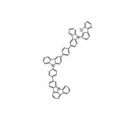 c1ccc2c(c1)oc1c(-n3c4ccccc4c4cc(-c5ccc(-c6ccc7c(c6)c6ccccc6n7-c6ccc(-c7ccc8c9cccc%10c%11ccccc%11n(c8c7)c%109)cc6)cc5)ccc43)cccc12